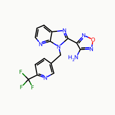 Nc1nonc1-c1nc2cccnc2n1Cc1ccc(C(F)(F)F)nc1